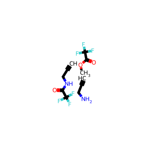 C#CCN.C#CCNC(=O)C(F)(F)F.COC(=O)C(F)(F)F